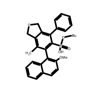 CCC(C)OP(=O)(O)c1c(-c2c(OC)ccc3ccccc23)c(C)c2c(c1-c1ccccc1)COC2